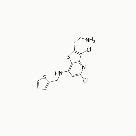 C[C@H](N)Cc1sc2c(NCc3cccs3)cc(Cl)nc2c1Cl